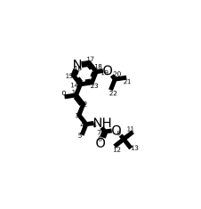 CC(=CCC(C)NC(=O)OC(C)(C)C)c1cncc(OC(C)C)c1